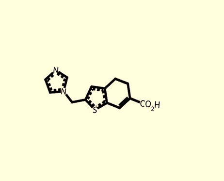 O=C(O)C1=Cc2sc(Cn3ccnc3)cc2CC1